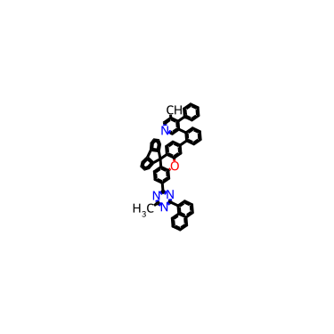 Cc1nc(-c2ccc3c(c2)Oc2cc(-c4ccccc4-c4cncc(C)c4-c4ccccc4)ccc2C32c3ccccc3-c3ccccc32)nc(-c2cccc3ccccc23)n1